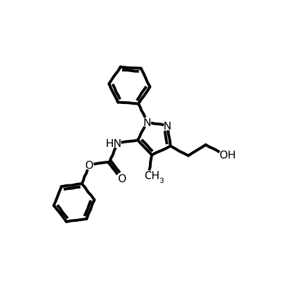 Cc1c(CCO)nn(-c2ccccc2)c1NC(=O)Oc1ccccc1